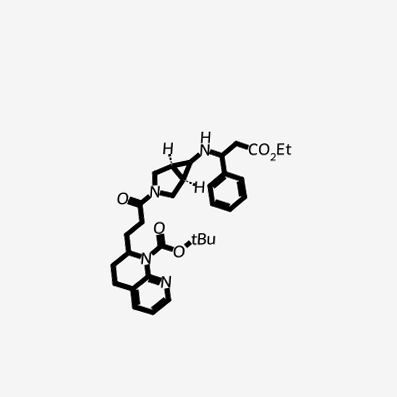 CCOC(=O)CC(NC1[C@H]2CN(C(=O)CCC3CCc4cccnc4N3C(=O)OC(C)(C)C)C[C@@H]12)c1ccccc1